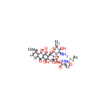 CC[C@H](NC(=O)CCC(C)=O)C(=O)OCC(=O)[C@]1(O)Cc2c(O)c3c(c(O)c2[C@@H](OC2CC(N)C(O)C(C)O2)C1)C(=O)c1c(OC)cccc1C3=O